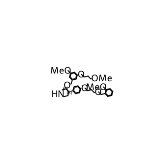 COCCCOc1cc(CO[C@H]2CNCC[C@@H]2c2ccc(OCCCOCc3ccccc3OC)cc2)cc(OC)c1